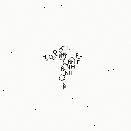 COC(=O)c1cc(-c2cnc(Nc3cccc(C#N)c3)nc2N2NC(C(F)(F)F)C=C2C)cnc1OC